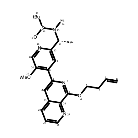 C=CCCOc1nc(-c2cc([C@@H](C)N(CC)[S+]([O-])C(C)(C)C)ncc2OC)cc2cccnc12